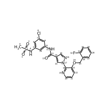 CS(=O)(=O)Nc1cc(Cl)cc(NC(=O)c2cnn(-c3ncccc3OCc3ccccc3F)c2)c1